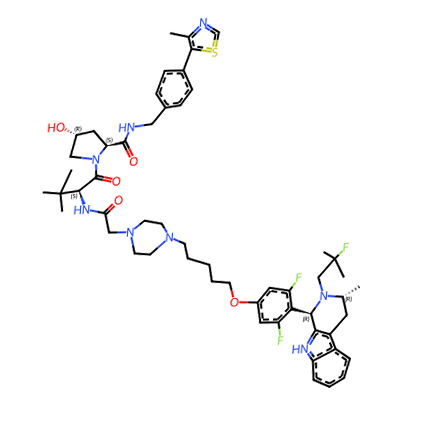 Cc1ncsc1-c1ccc(CNC(=O)[C@@H]2C[C@@H](O)CN2C(=O)[C@@H](NC(=O)CN2CCN(CCCCCOc3cc(F)c([C@@H]4c5[nH]c6ccccc6c5C[C@@H](C)N4CC(C)(C)F)c(F)c3)CC2)C(C)(C)C)cc1